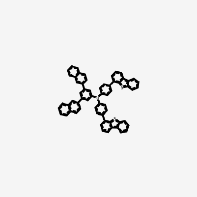 c1ccc2cc(-c3cc(-c4ccc5ccccc5c4)cc(N(c4ccc(-c5cccc6c5sc5ccccc56)cc4)c4ccc(-c5cccc6c5sc5ccccc56)cc4)c3)ccc2c1